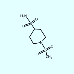 CS(=O)(=O)N1CCC(S(N)(=O)=O)CC1